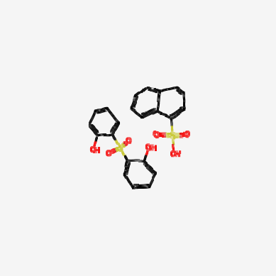 O=S(=O)(O)c1cccc2ccccc12.O=S(=O)(c1ccccc1O)c1ccccc1O